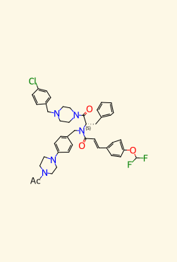 CC(=O)N1CCN(c2ccc(CN(C(=O)C=Cc3ccc(OC(F)F)cc3)[C@@H](Cc3ccccc3)C(=O)N3CCN(Cc4ccc(Cl)cc4)CC3)cc2)CC1